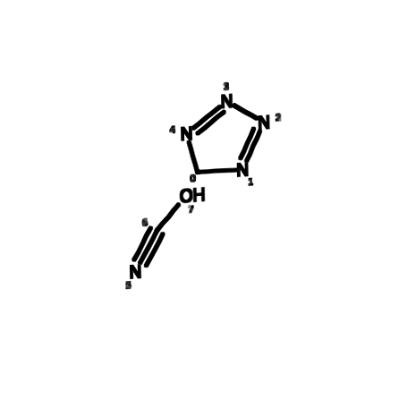 C1N=NN=N1.N#CO